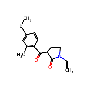 C=CN1CCC(C(=O)c2ccc(BC)cc2C)C1=O